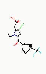 CCn1c(C(=O)c2ccc(C(F)(F)F)cc2)cc(Cl)c1CC(=O)O